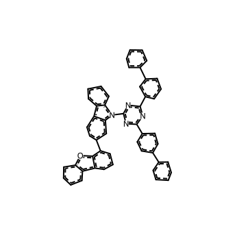 c1ccc(-c2ccc(-c3nc(-c4cccc(-c5ccccc5)c4)nc(-n4c5ccccc5c5ccc(-c6cccc7c6oc6ccccc67)cc54)n3)cc2)cc1